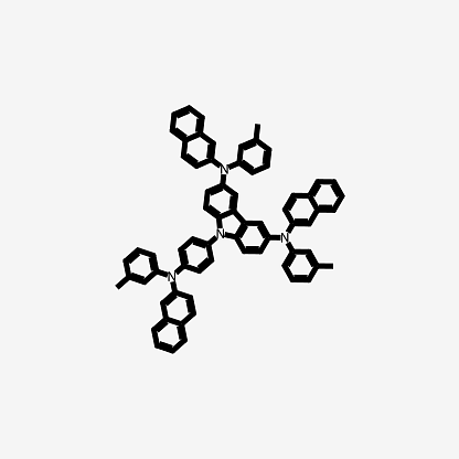 Cc1cccc(N(c2ccc(-n3c4ccc(N(c5cccc(C)c5)c5ccc6ccccc6c5)cc4c4cc(N(c5cccc(C)c5)c5ccc6ccccc6c5)ccc43)cc2)c2ccc3ccccc3c2)c1